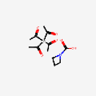 C[C](=O)[Zr]([C](C)=O)([C](C)=O)[C](C)=O.O=C(O)N1CCC1